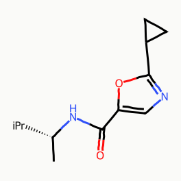 CC(C)[C@@H](C)NC(=O)c1cnc(C2CC2)o1